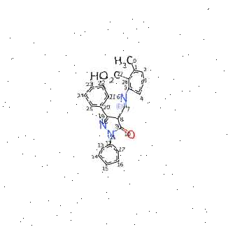 Cc1cccc(/N=C/C2C(=O)N(c3ccccc3)N=C2c2ccccc2)c1C(=O)O